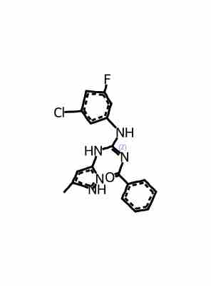 Cc1cc(N/C(=N\C(=O)c2ccccc2)Nc2cc(F)cc(Cl)c2)n[nH]1